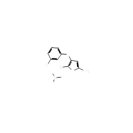 CCN(CC)CC.N#Cc1cc(Sc2cccc(Br)c2)c([N+](=O)[O-])s1